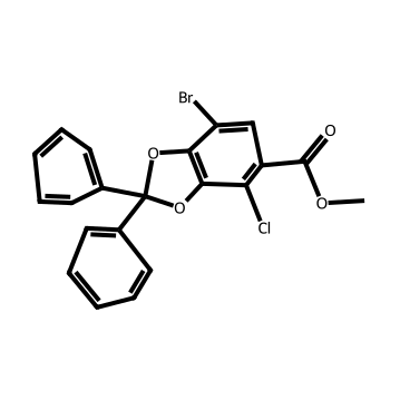 COC(=O)c1cc(Br)c2c(c1Cl)OC(c1ccccc1)(c1ccccc1)O2